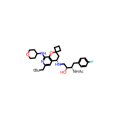 CC(=O)N[C@@H](Cc1ccc(F)cc1)[C@@H](O)CN[C@H]1CC2(CCC2)Oc2c1cc(CC(C)(C)C)nc2NC1CCOCC1